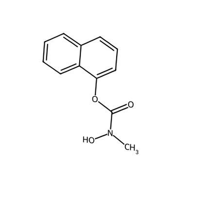 CN(O)C(=O)Oc1cccc2ccccc12